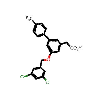 O=C(O)Cc1cc(OCc2cc(Cl)cc(Cl)c2)cc(-c2ccc(C(F)(F)F)cc2)c1